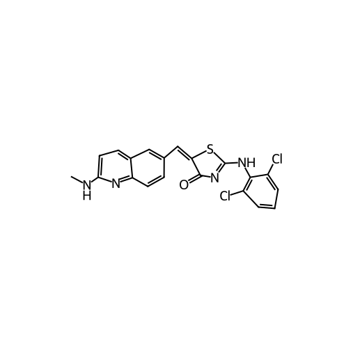 CNc1ccc2cc(C=C3SC(Nc4c(Cl)cccc4Cl)=NC3=O)ccc2n1